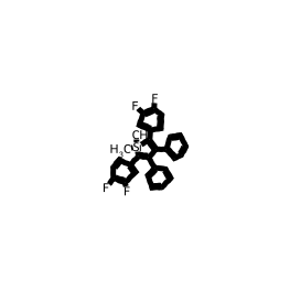 C[Si]1(C)C(c2ccc(F)c(F)c2)=C(c2ccccc2)C(c2ccccc2)=C1c1ccc(F)c(F)c1